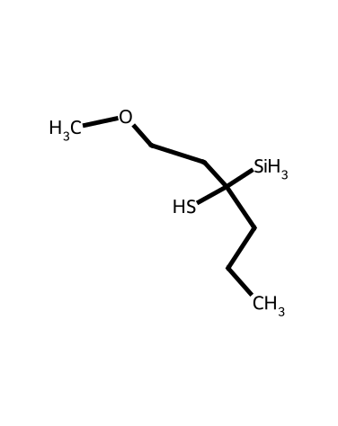 CCCC([SiH3])(S)CCOC